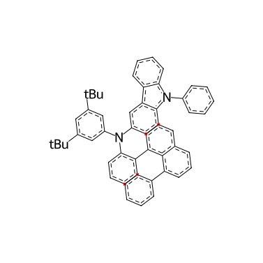 CC(C)(C)c1cc(N(c2ccc3c(c2)c2ccccc2n3-c2ccccc2)c2ccccc2-c2cccc3cccc(-c4ccccc4)c23)cc(C(C)(C)C)c1